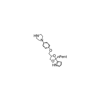 CCCCCC1(c2ccc[nH]2)OCC(COc2ccc(N3CCNCC3)cc2)O1